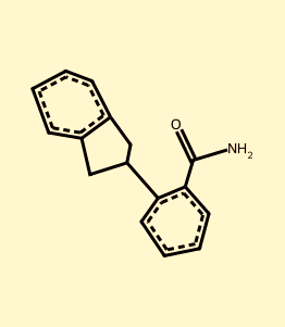 NC(=O)c1ccccc1C1Cc2ccccc2C1